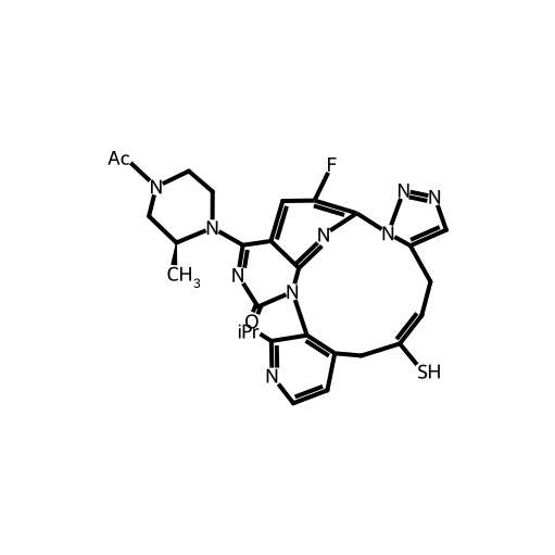 CC(=O)N1CCN(c2nc(=O)n3c4nc(c(F)cc24)-n2nncc2C/C=C(/S)Cc2ccnc(C(C)C)c2-3)[C@@H](C)C1